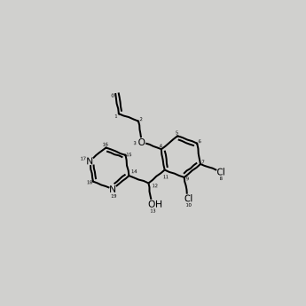 C=CCOc1ccc(Cl)c(Cl)c1C(O)c1ccncn1